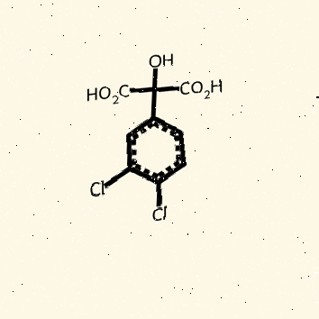 O=C(O)C(O)(C(=O)O)c1ccc(Cl)c(Cl)c1